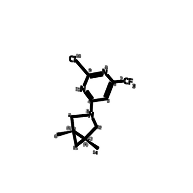 C[C@@]12CN(c3cc(C(F)(F)F)nc(Cl)n3)C[C@]1(C)C2